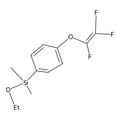 CCO[Si](C)(C)c1ccc(OC(F)=C(F)F)cc1